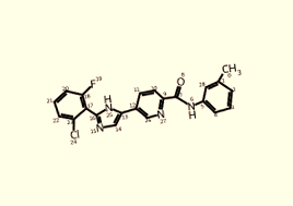 Cc1cccc(NC(=O)c2ccc(-c3cnc(-c4c(F)cccc4Cl)[nH]3)cn2)c1